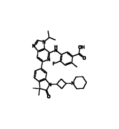 Cc1cc(F)c(Nc2nc(-c3ccc4c(c3)N(C3CC(N5CCCCC5)C3)C(=O)C4(C)C)cc3ncn(C(C)C)c23)cc1C(=O)O